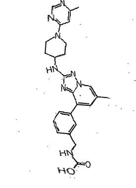 Cc1cc(-c2cccc(CNC(=O)O)c2)c2nc(NC3CCN(c4cc(C)ncn4)CC3)nn2c1